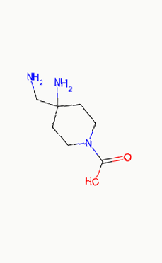 NCC1(N)CCN(C(=O)O)CC1